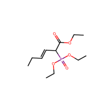 CCC=CC(C(=O)OCC)P(=O)(OCC)OCC